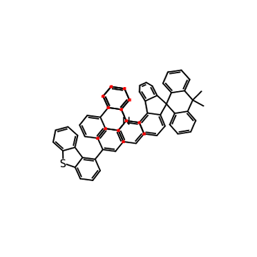 CC1(C)c2ccccc2C2(c3ccccc3-c3c(N(c4ccc(-c5cccc6sc7ccccc7c56)cc4)c4ccccc4-c4ccccc4-c4ccccc4-c4ccccc4)cccc32)c2ccccc21